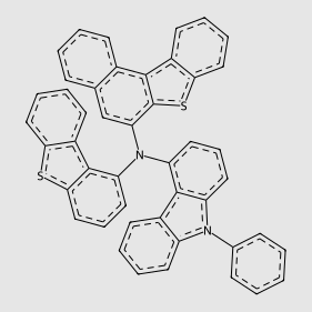 c1ccc(-n2c3ccccc3c3c(N(c4cc5ccccc5c5c4sc4ccccc45)c4cccc5sc6ccccc6c45)cccc32)cc1